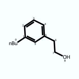 CCCCc1cccc(CCO)c1